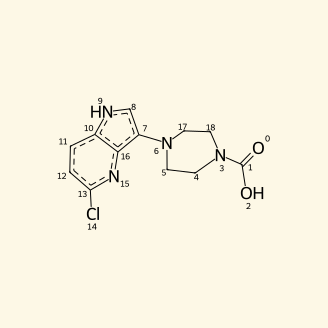 O=C(O)N1CCN(c2c[nH]c3ccc(Cl)nc23)CC1